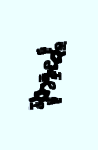 Cc1cc(CC(=O)NNC(=O)Cc2cc(C)c(O)c(C(C)(C)C)c2)cc(C(C)(C)C)c1O